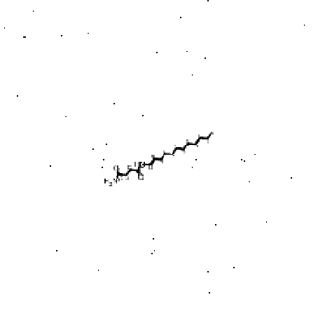 CCCCCCCCCCC=CNC(=O)CCC(N)=O